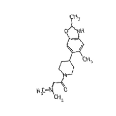 Cc1cc2c(cc1C1CCN(C(=O)CN(C)C)CC1)OC(C)N2